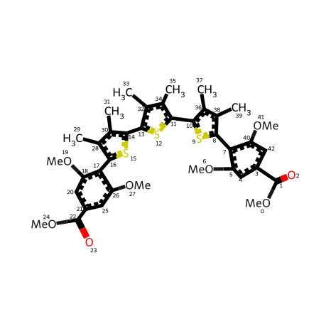 COC(=O)c1cc(OC)c(-c2sc(-c3sc(-c4sc(-c5c(OC)cc(C(=O)OC)cc5OC)c(C)c4C)c(C)c3C)c(C)c2C)c(OC)c1